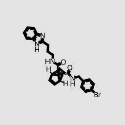 O=C(NCCCc1nc2ccccc2[nH]1)[C@H]1[C@H](C(=O)NCc2ccc(Br)cc2)[C@@H]2C=C[C@H]1C21CC1